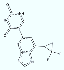 O=c1[nH]cc(-c2cc(C3CC3(F)F)c3nccn3n2)c(=O)[nH]1